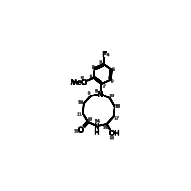 COc1cc(F)ccc1N1CCCC(=O)NC(O)CCC1